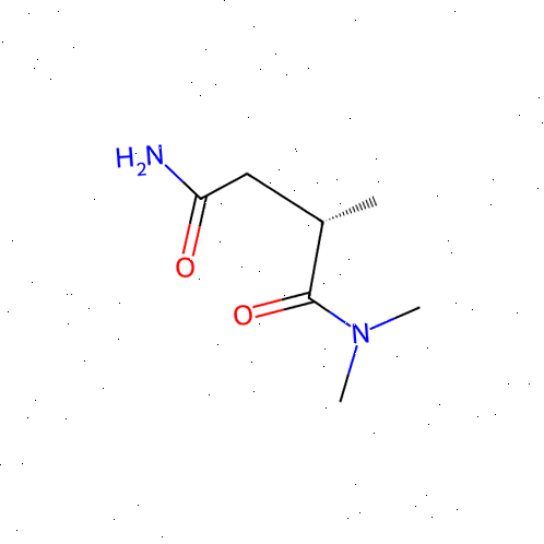 C[C@@H](CC(N)=O)C(=O)N(C)C